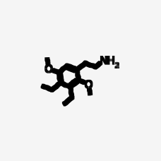 CCc1c(OC)cc(CCN)c(OC)c1CC